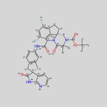 CC(C)(C)OC(=O)N1C[C@]2(CCc3c(F)cc(F)cc32)N(CC(=O)Nc2ccc3c(c2)C[C@@]2(C3)C(=O)Nc3ncccc32)C(=O)C1(C)C